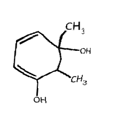 CC1C(O)=CC=CC1(C)O